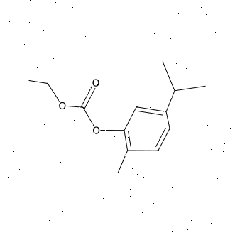 CCOC(=O)Oc1cc(C(C)C)ccc1C